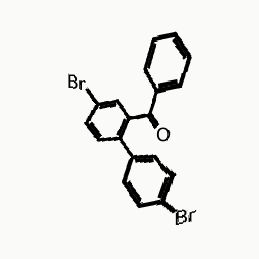 O=C(c1ccccc1)c1cc(Br)ccc1-c1ccc(Br)cc1